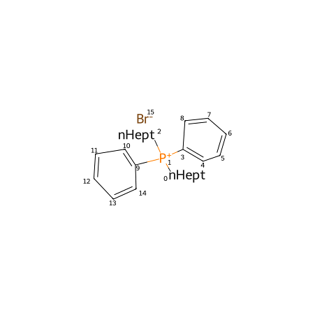 CCCCCCC[P+](CCCCCCC)(c1ccccc1)c1ccccc1.[Br-]